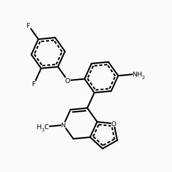 CN1C=C(c2cc(N)ccc2Oc2ccc(F)cc2F)c2occc2C1